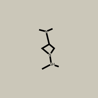 CN(C)C1CN([SH](C)C)C1